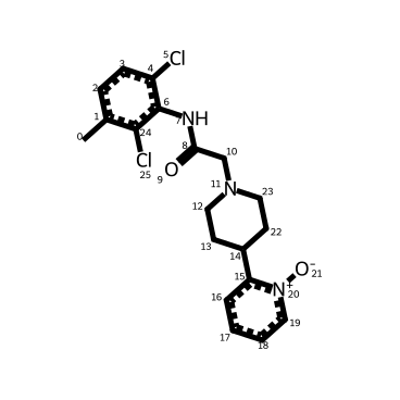 Cc1ccc(Cl)c(NC(=O)CN2CCC(c3cccc[n+]3[O-])CC2)c1Cl